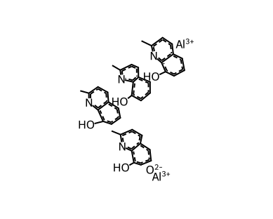 Cc1ccc2cccc(O)c2n1.Cc1ccc2cccc(O)c2n1.Cc1ccc2cccc(O)c2n1.Cc1ccc2cccc(O)c2n1.[Al+3].[Al+3].[O-2]